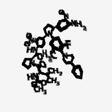 COC(=O)N[C@H](C(=O)N1CCC[C@H]1C(=O)Nc1ccc([C@H]2CC[C@H](c3ccc(N)c(N=O)c3)N2c2cc(C)c(N3CC=C(c4ccccc4)CC3)c(F)c2)cc1[N+](=O)[O-])C(C)C